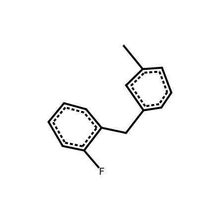 Cc1cccc(Cc2ccccc2F)c1